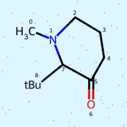 CN1CCCC(=O)C1C(C)(C)C